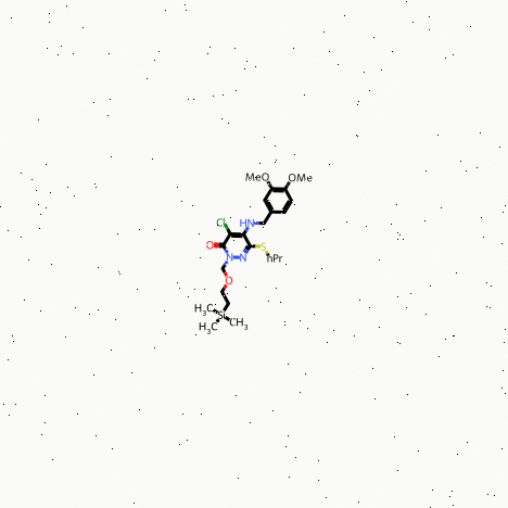 CCCSc1nn(COCC[Si](C)(C)C)c(=O)c(Cl)c1NCc1ccc(OC)c(OC)c1